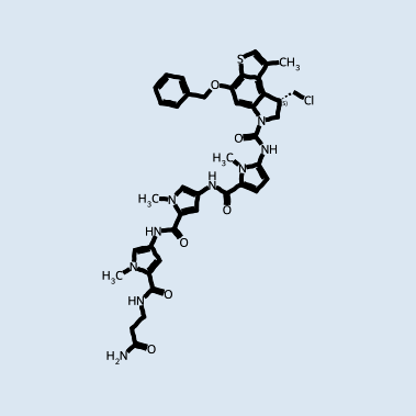 Cc1csc2c(OCc3ccccc3)cc3c(c12)[C@H](CCl)CN3C(=O)Nc1ccc(C(=O)Nc2cc(C(=O)Nc3cc(C(=O)NCCC(N)=O)n(C)c3)n(C)c2)n1C